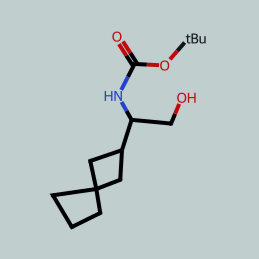 CC(C)(C)OC(=O)NC(CO)C1CC2(CCC2)C1